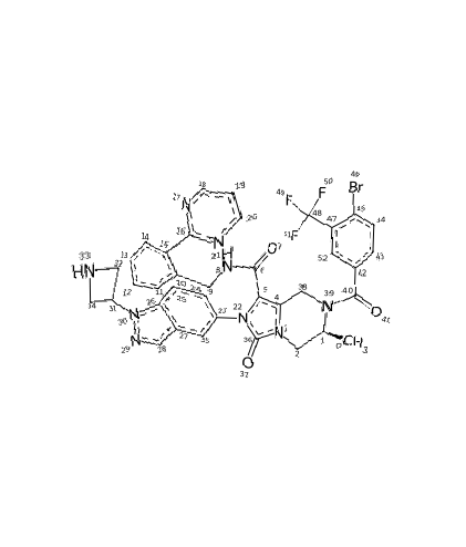 C[C@H]1Cn2c(c(C(=O)NCc3ccccc3-c3ncccn3)n(-c3ccc4c(cnn4C4CNC4)c3)c2=O)CN1C(=O)c1ccc(Br)c(C(F)(F)F)c1